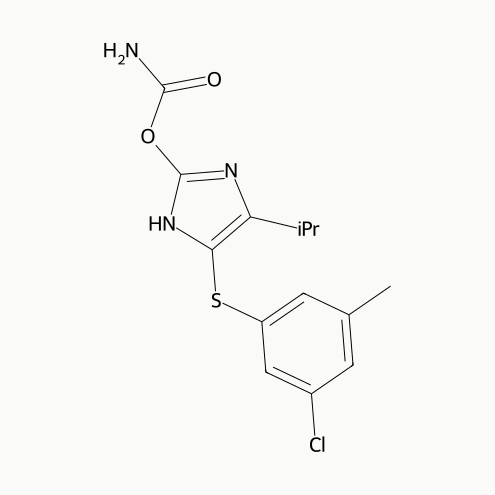 Cc1cc(Cl)cc(Sc2[nH]c(OC(N)=O)nc2C(C)C)c1